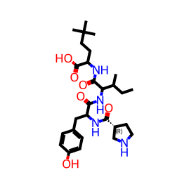 CCC(C)C(NC(=O)C(Cc1ccc(O)cc1)NC(=O)[C@@H]1CCNC1)C(=O)NC(CCC(C)(C)C)C(=O)O